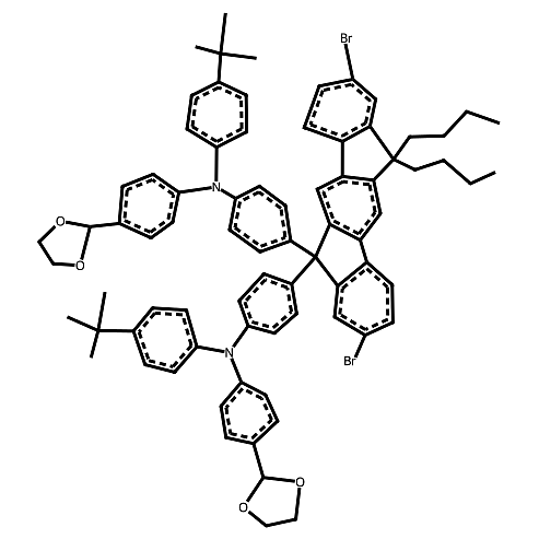 CCCCC1(CCCC)c2cc(Br)ccc2-c2cc3c(cc21)-c1ccc(Br)cc1C3(c1ccc(N(c2ccc(C3OCCO3)cc2)c2ccc(C(C)(C)C)cc2)cc1)c1ccc(N(c2ccc(C3OCCO3)cc2)c2ccc(C(C)(C)C)cc2)cc1